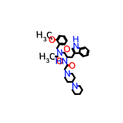 COc1ccccc1CN(C(C)=O)C(=O)C(Cc1c[nH]c2ccccc12)NC(=O)CN1CCC(N2CCCCC2)CC1